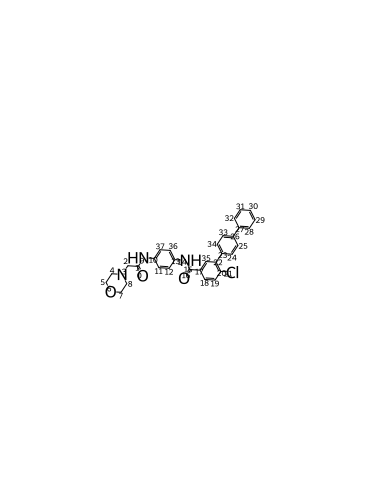 O=C(CN1CCOCC1)Nc1ccc(NC(=O)c2ccc(Cl)c(-c3ccc(-c4ccccc4)cc3)c2)cc1